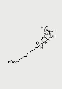 CCCCCCCCCCCCCCCCCCCCCC(=O)Nc1ccn([C@@H]2O[C@H](C)[C@@H](O)[C@@H]2O)c(=O)n1